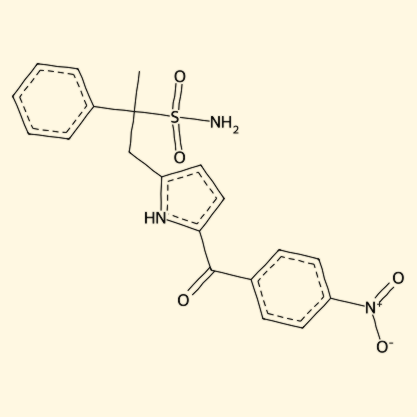 CC(Cc1ccc(C(=O)c2ccc([N+](=O)[O-])cc2)[nH]1)(c1ccccc1)S(N)(=O)=O